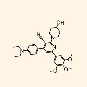 CCN(CC)c1ccc(-c2cc(-c3cc(OC)c(OC)c(OC)c3)nc(N3CCC(O)CC3)c2C#N)cc1